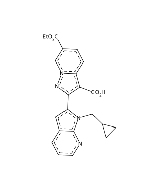 CCOC(=O)c1ccc2c(C(=O)O)c(-c3cc4cccnc4n3CC3CC3)nn2c1